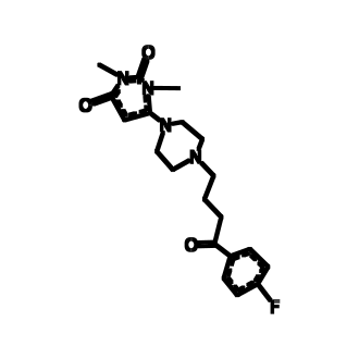 Cn1c(N2CCN(CCCC(=O)c3ccc(F)cc3)CC2)cc(=O)n(C)c1=O